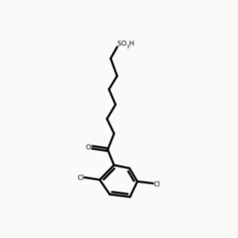 O=C(CCCCCCS(=O)(=O)O)c1cc(Cl)ccc1Cl